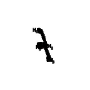 CCCC(CCCCCCCCCCCCCC1CC(C)O1)OC(CCC)CCCCCCCCCCCCCC1CC(C)O1.O=C(O)c1ccccc1